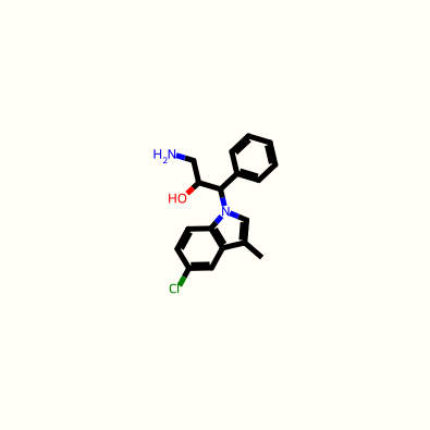 Cc1cn(C(c2ccccc2)C(O)CN)c2ccc(Cl)cc12